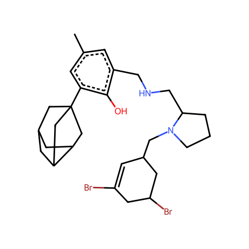 Cc1cc(CNCC2CCCN2CC2C=C(Br)CC(Br)C2)c(O)c(C23CC4CC(C2)C(C4)C3)c1